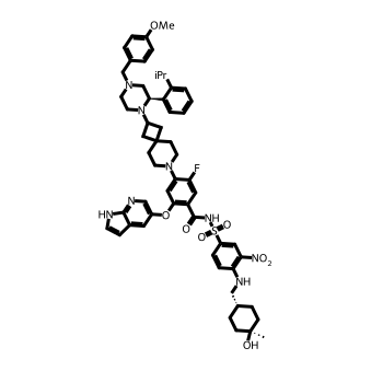 COc1ccc(CN2CCN(C3CC4(CCN(c5cc(Oc6cnc7[nH]ccc7c6)c(C(=O)NS(=O)(=O)c6ccc(NC[C@H]7CC[C@](C)(O)CC7)c([N+](=O)[O-])c6)cc5F)CC4)C3)[C@H](c3ccccc3C(C)C)C2)cc1